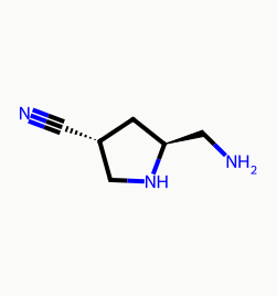 N#C[C@H]1CN[C@H](CN)C1